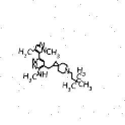 CNc1nnc(-c2c(C)cnn2C)cc1CC1CC12CCN(CCC(C)(C)C)CC2